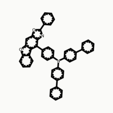 c1ccc(-c2ccc(N(c3ccc(-c4ccccc4)cc3)c3ccc(-c4c5nc(-c6ccccc6)oc5cc5oc6ccccc6c45)cc3)cc2)cc1